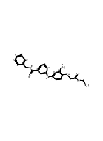 CCOC(=O)COc1ccc(Oc2cccc(C(=O)OCc3ccccc3)c2)cc1C